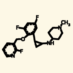 CN1CCC(NC2CC2c2cc(F)cc(F)c2OCc2cccnc2F)CC1